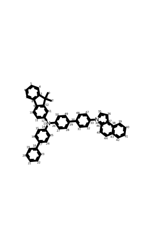 CC1(C)c2ccccc2-c2ccc(N(c3ccc(-c4ccccc4)cc3)c3ccc(-c4ccc(-n5ccc6c7ccccc7ccc65)cc4)cc3)cc21